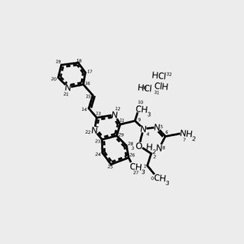 CCCON(N=C(N)N)C(C)c1nc(/C=C/c2ccccn2)nc2ccc(C)cc12.Cl.Cl.Cl